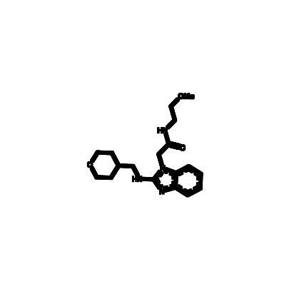 COCCNC(=O)Cn1c(NCC2CCOCC2)nc2ccccc21